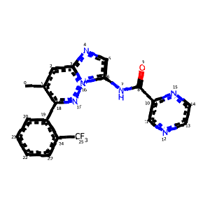 Cc1cc2ncc(NC(=O)c3cnccn3)n2nc1-c1ccccc1C(F)(F)F